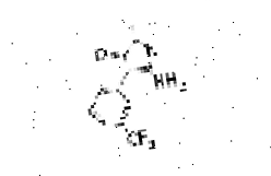 CC1C(=O)C(c2cccc(C(F)(F)F)c2)=C(N)N1C